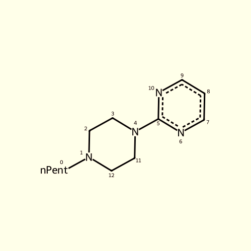 [CH2]CCCCN1CCN(c2ncccn2)CC1